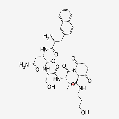 CC(C)[C@H](NC(=O)[C@H](CO)NC(=O)[C@H](CC(N)=O)NC(=O)[C@@H](N)Cc1ccc2ccccc2c1)C(=O)N1C(=O)CCC(=O)[C@H]1C(=O)NCCCO